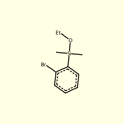 CCO[Si](C)(C)c1ccccc1Br